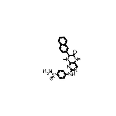 CN1C(=O)C(c2ccc3ccccc3c2)N(C)c2nc(Nc3ccc([S+](N)[O-])cc3)ncc21